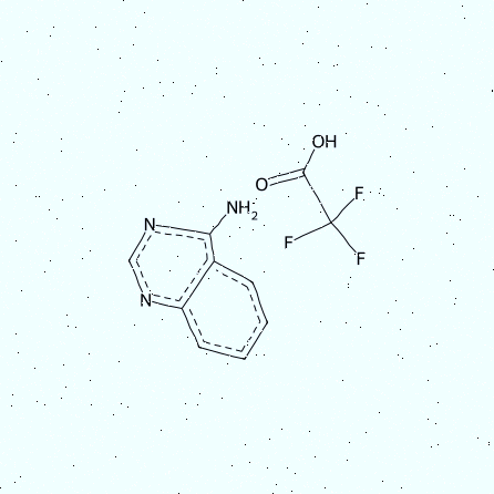 Nc1ncnc2ccccc12.O=C(O)C(F)(F)F